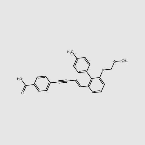 COCOc1cccc(C=CC#Cc2ccc(C(=O)O)cc2)c1-c1ccc(C)cc1